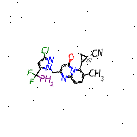 Cc1ccc2nc(Cn3nc(Cl)cc3C(F)(F)P)cc(=O)n2c1C1C[C@@H]1C#N